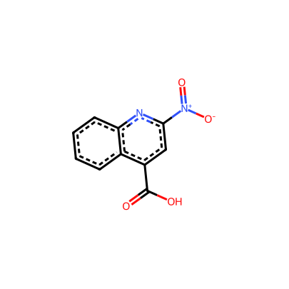 O=C(O)c1cc([N+](=O)[O-])nc2ccccc12